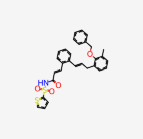 Cc1cccc(C/C=C/c2ccccc2/C=C/C(=O)NS(=O)(=O)c2cccs2)c1OCc1ccccc1